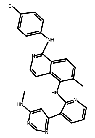 CNc1cc(-c2cccnc2Nc2c(C)ccc3c(Nc4ccc(Cl)cc4)nccc23)ncn1